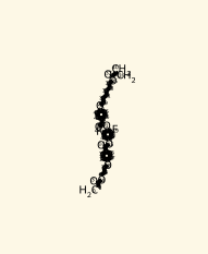 C=CC(=O)OCCCOc1ccc(C(=O)Oc2cc(F)c(OC(=O)c3ccc(OCCCCCCOC(=O)C(=C)C)cc3)c(F)c2)cc1